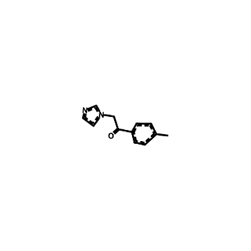 Cc1ccc(C(=O)Cn2ccnc2)cc1